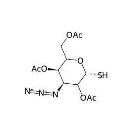 CC(=O)OCC1O[C@H](S)C(OC(C)=O)[C@@H](N=[N+]=[N-])[C@H]1OC(C)=O